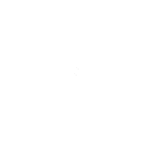 CCCCOC(=O)NNc1ccccc1C